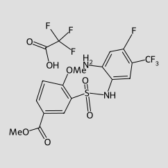 COC(=O)c1ccc(OC)c(S(=O)(=O)Nc2cc(C(F)(F)F)c(F)cc2N)c1.O=C(O)C(F)(F)F